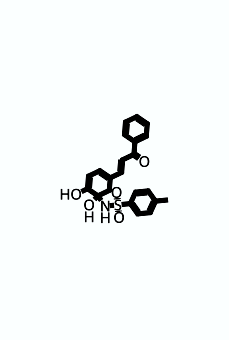 Cc1ccc(S(=O)(=O)NC2(O)CC(/C=C/C(=O)c3ccccc3)=CC=C2O)cc1